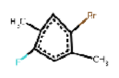 Cc1cc(Br)c(C)cc1F